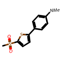 CNc1ccc(-c2ccc(S(C)(=O)=O)s2)cc1